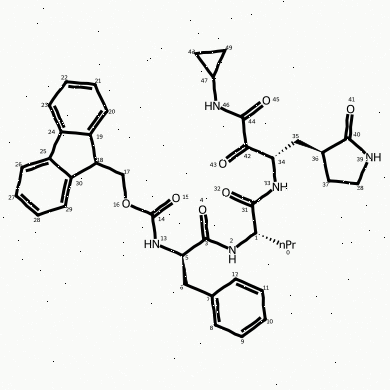 CCC[C@H](NC(=O)[C@@H](Cc1ccccc1)NC(=O)OCC1c2ccccc2-c2ccccc21)C(=O)N[C@@H](C[C@@H]1CCNC1=O)C(=O)C(=O)NC1CC1